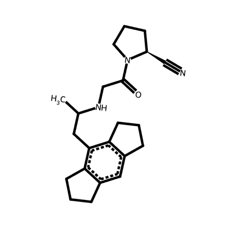 CC(Cc1c2c(cc3c1CCC3)CCC2)NCC(=O)N1CCC[C@H]1C#N